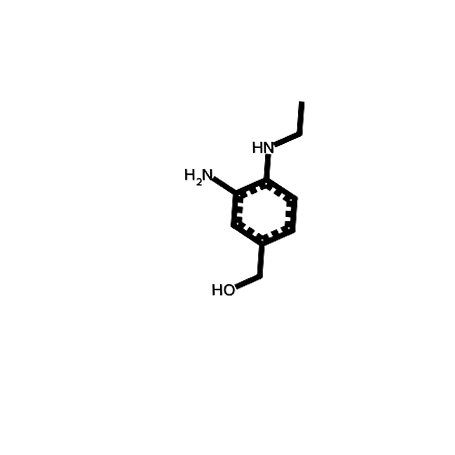 CCNc1ccc(CO)cc1N